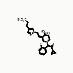 CCOC(=O)CCc1cnn(C/C=C2/CN(C(C(=O)C3CC3)c3ccccc3F)CCC2S)c1.Cl